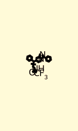 CC(C)(CNC(=O)C(F)(F)F)C(C1=CCN2C(=C1)CN=C2c1ccccc1)c1ccccc1